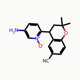 CC1(C)CC(c2ccc(N)c[n+]2[O-])c2cc(C#N)ccc2O1